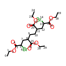 CCOC(=O)C(Br)CC(CCC(CC(Br)C(=O)OCC)C(=O)OCC)C(=O)OCC